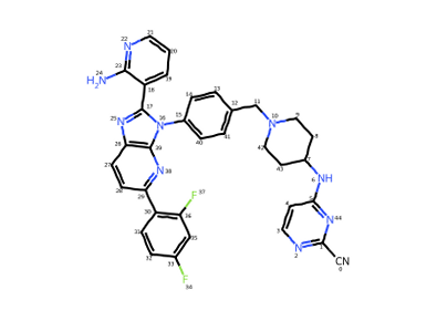 N#Cc1nccc(NC2CCN(Cc3ccc(-n4c(-c5cccnc5N)nc5ccc(-c6ccc(F)cc6F)nc54)cc3)CC2)n1